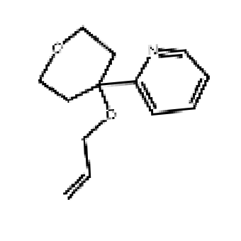 C=CCOC1(c2ccccn2)CCOCC1